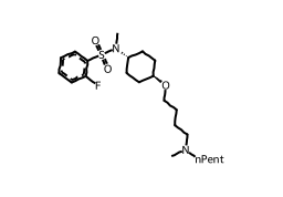 CCCCCN(C)CCCCO[C@H]1CC[C@H](N(C)S(=O)(=O)c2ccccc2F)CC1